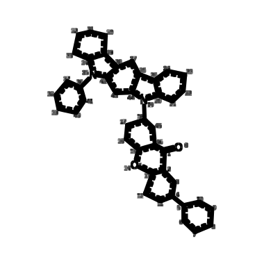 O=c1c2cc(-c3ccccc3)ccc2oc2ccc(-n3c4ccccc4c4cc5c6ccccc6n(-c6ccccc6)c5cc43)cc12